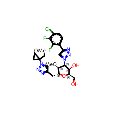 COCC1(n2cc(C[C@H]3O[C@H](CO)[C@H](O)[C@H](n4cc(-c5ccc(Cl)c(F)c5F)nn4)[C@H]3OC)nn2)CC1